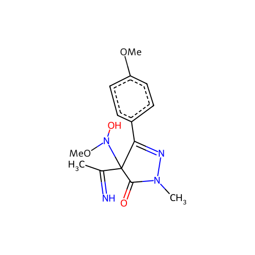 COc1ccc(C2=NN(C)C(=O)C2(C(C)=N)N(O)OC)cc1